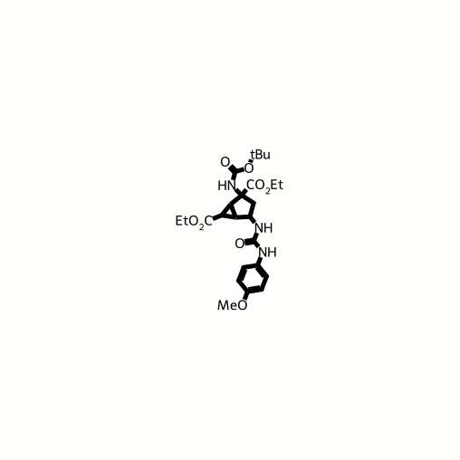 CCOC(=O)C1C2C(NC(=O)Nc3ccc(OC)cc3)CC(NC(=O)OC(C)(C)C)(C(=O)OCC)C12